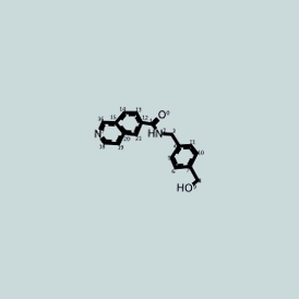 O=C(NCc1ccc(CO)cc1)c1ccc2cnccc2c1